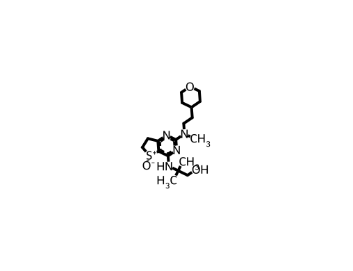 CN(CCC1CCOCC1)c1nc2c(c(NC(C)(C)CO)n1)[S+]([O-])CC2